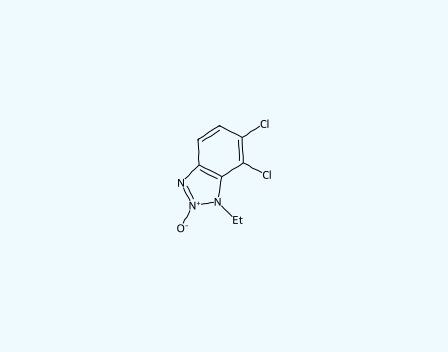 CCn1c2c(Cl)c(Cl)ccc2n[n+]1[O-]